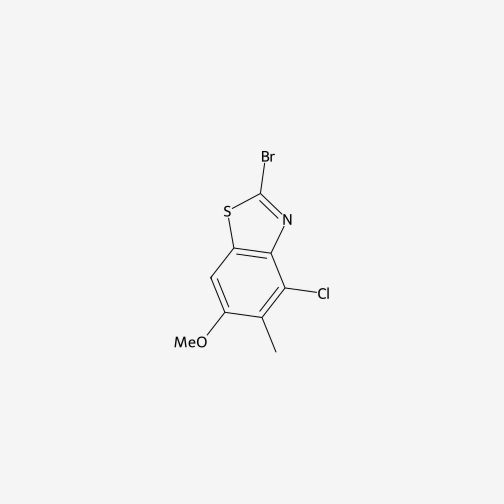 COc1cc2sc(Br)nc2c(Cl)c1C